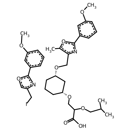 COc1cccc(-c2nc(CI)co2)c1.COc1cccc(-c2nc(CO[C@H]3CCC[C@@H](OCC(OCC(C)C)C(=O)O)C3)c(C)o2)c1